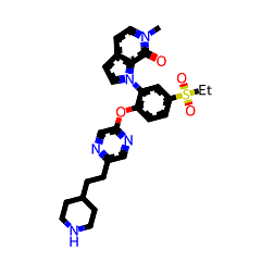 CCS(=O)(=O)c1ccc(Oc2cnc(CCC3CCNCC3)cn2)c(-n2ccc3ccn(C)c(=O)c32)c1